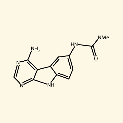 CNC(=O)Nc1ccc2[nH]c3ncnc(N)c3c2c1